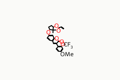 C=CC(=O)OC1CCC(Oc2ccc3cc(-c4ccc(OC)cc4OC(F)(F)F)c(=O)oc3c2)C1(C)C